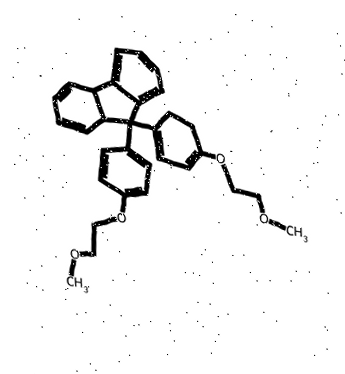 COCCOC1=CC=C(C2(c3ccc(OCCOC)cc3)c3ccccc3C3C=CC=CC32)CC1